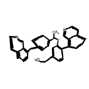 CC(Oc1cc(CO)ccc1-c1cccc2ccncc12)c1ccc(-c2cccc3ccncc23)cc1